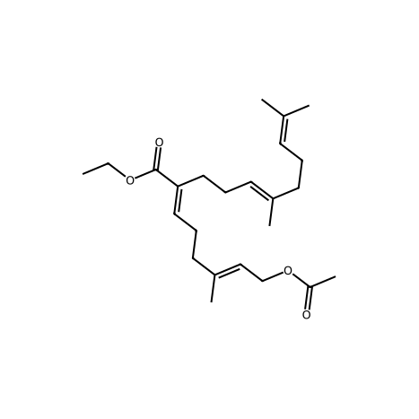 CCOC(=O)C(=CCCC(C)=CCOC(C)=O)CCC=C(C)CCC=C(C)C